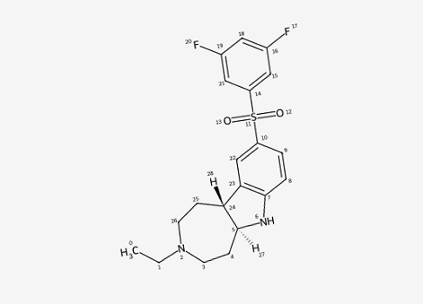 CCN1CC[C@@H]2Nc3ccc(S(=O)(=O)c4cc(F)cc(F)c4)cc3[C@H]2CC1